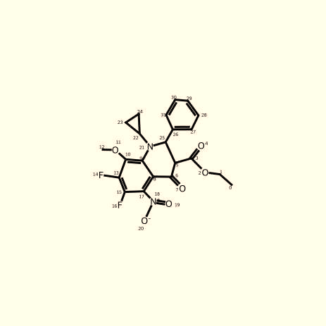 CCOC(=O)C1C(=O)c2c(c(OC)c(F)c(F)c2[N+](=O)[O-])N(C2CC2)C1c1ccccc1